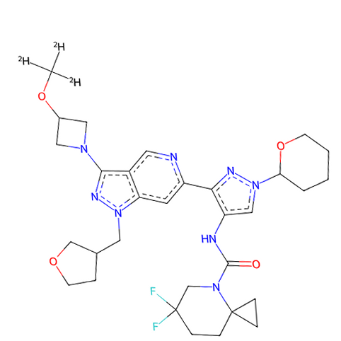 [2H]C([2H])([2H])OC1CN(c2nn(CC3CCOC3)c3cc(-c4nn(C5CCCCO5)cc4NC(=O)N4CC(F)(F)CCC45CC5)ncc23)C1